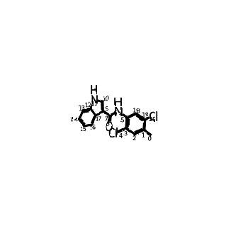 Cc1cc(Cl)c(NC(=O)c2c[nH]c3ccccc23)cc1Cl